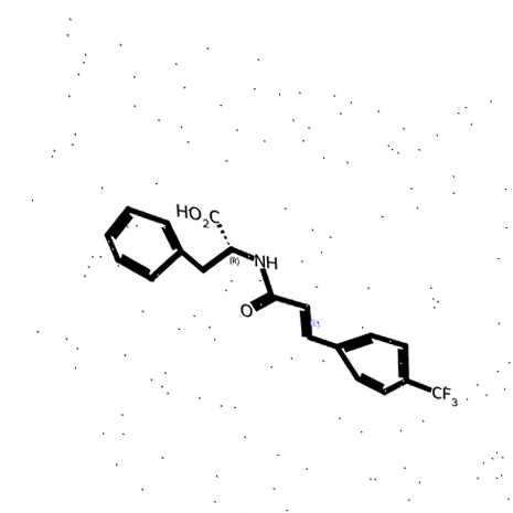 O=C(/C=C/c1ccc(C(F)(F)F)cc1)N[C@H](Cc1ccccc1)C(=O)O